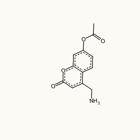 CC(=O)Oc1ccc2c(CN)cc(=O)oc2c1